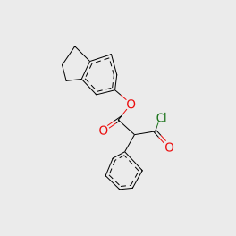 O=C(Cl)C(C(=O)Oc1ccc2c(c1)CCC2)c1ccccc1